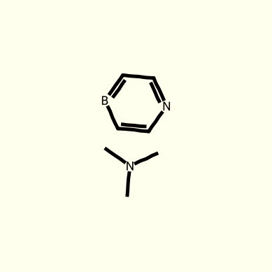 CN(C)C.b1ccncc1